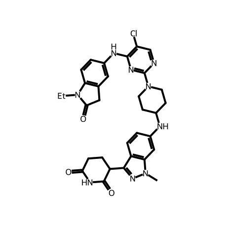 CCN1C(=O)Cc2cc(Nc3nc(N4CCC(Nc5ccc6c(C7CCC(=O)NC7=O)nn(C)c6c5)CC4)ncc3Cl)ccc21